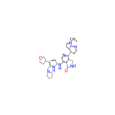 Cn1ccc2c(-c3ncc(NC4C=CC(C5CCOC5)=C(CN5CCCC5)N4)c4c3CNC4=O)ccnc21